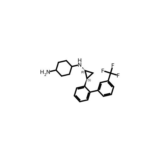 NC1CCC(N[C@@H]2C[C@H]2c2ccccc2-c2cccc(C(F)(F)F)c2)CC1